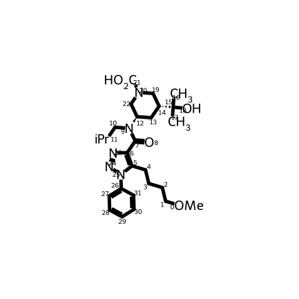 COCCCCc1c(C(=O)N(CC(C)C)[C@H]2C[C@@H](C(C)(C)O)CN(C(=O)O)C2)nnn1-c1ccccc1